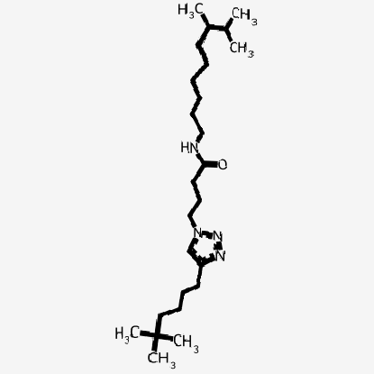 CC(C)C(C)CCCCCCNC(=O)CCCn1cc(CCCCC(C)(C)C)nn1